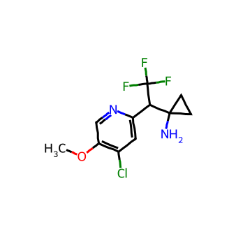 COc1cnc(C(C(F)(F)F)C2(N)CC2)cc1Cl